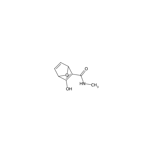 CNC(=O)C1=C(O)C2C=CC1O2